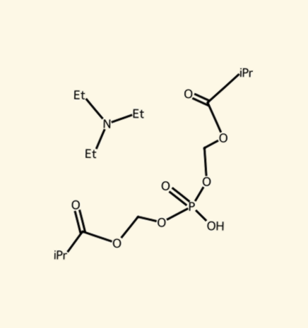 CC(C)C(=O)OCOP(=O)(O)OCOC(=O)C(C)C.CCN(CC)CC